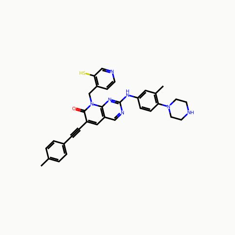 Cc1ccc(C#Cc2cc3cnc(Nc4ccc(N5CCNCC5)c(C)c4)nc3n(Cc3ccncc3S)c2=O)cc1